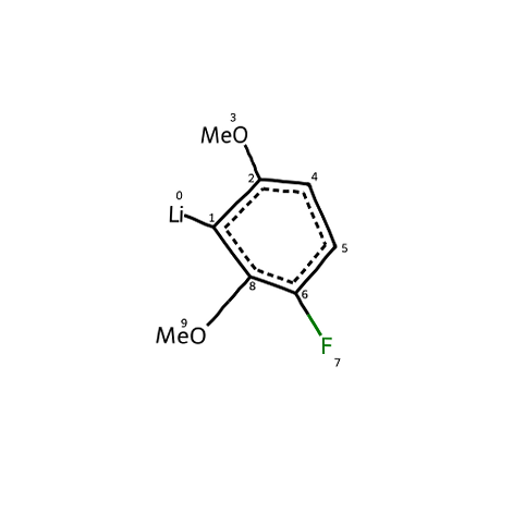 [Li][c]1c(OC)ccc(F)c1OC